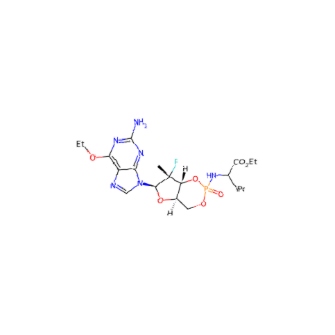 CCOC(=O)C(NP1(=O)OC[C@H]2O[C@@H](n3cnc4c(OCC)nc(N)nc43)[C@](C)(F)[C@@H]2O1)C(C)C